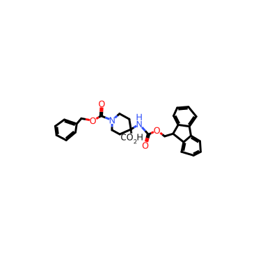 O=C(NC1(C(=O)O)CCN(C(=O)OCc2ccccc2)CC1)OCC1c2ccccc2-c2ccccc21